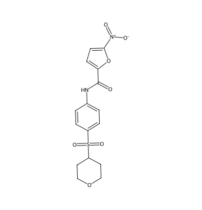 O=C(Nc1ccc(S(=O)(=O)C2CCOCC2)cc1)c1ccc([N+](=O)[O-])o1